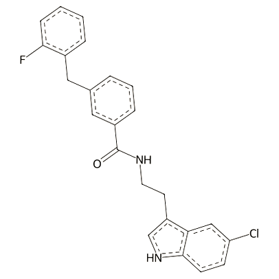 O=C(NCCc1c[nH]c2ccc(Cl)cc12)c1cccc(Cc2ccccc2F)c1